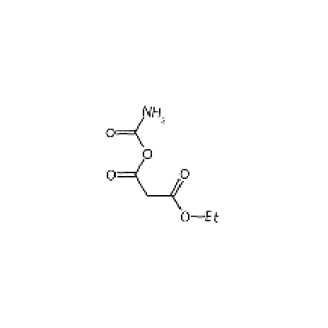 CCOC(=O)CC(=O)OC(N)=O